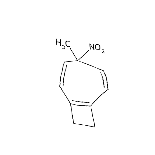 CC1([N+](=O)[O-])C=CC2=C(C=C1)CC2